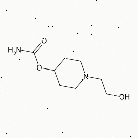 NC(=O)OC1CCN(CCO)CC1